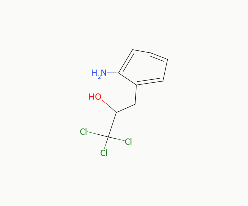 Nc1ccccc1CC(O)C(Cl)(Cl)Cl